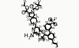 CC=Cc1ccc(-c2cccc(S(C)(=O)=O)c2)c(C(Oc2cc(N3CCC4(CC3)C[C@@H](C(=O)OCC)N(C(=O)OC(C)(C)C)C4)nc(N)n2)C(F)(F)F)c1